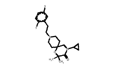 CC1(C)OC2(CCN(CCc3cc(F)ccc3F)CC2)CN(C2CC2)C1=O